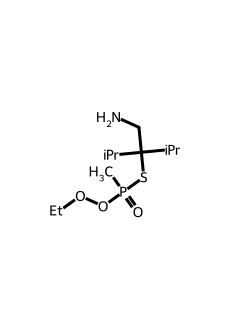 CCOOP(C)(=O)SC(CN)(C(C)C)C(C)C